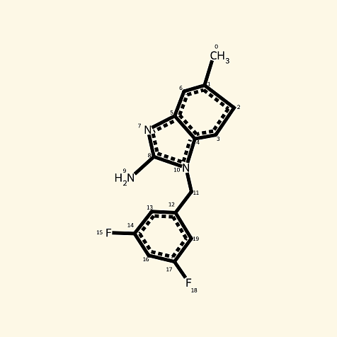 Cc1ccc2c(c1)nc(N)n2Cc1cc(F)cc(F)c1